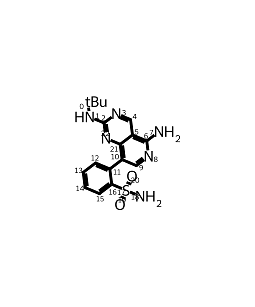 CC(C)(C)Nc1ncc2c(N)ncc(-c3ccccc3S(N)(=O)=O)c2n1